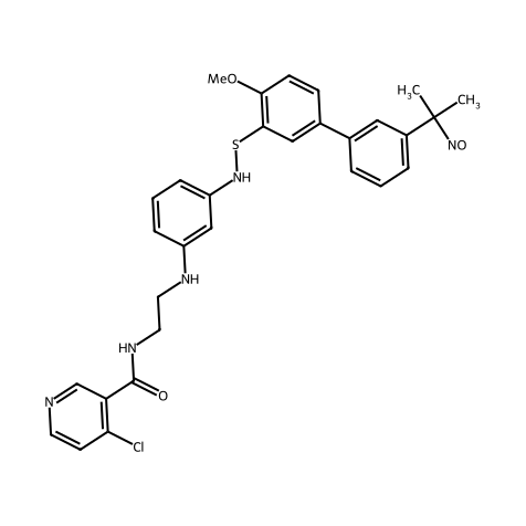 COc1ccc(-c2cccc(C(C)(C)N=O)c2)cc1SNc1cccc(NCCNC(=O)c2cnccc2Cl)c1